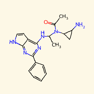 CC(=O)N(C(C)Nc1nc(-c2ccccc2)nc2[nH]ccc12)C1CC1N